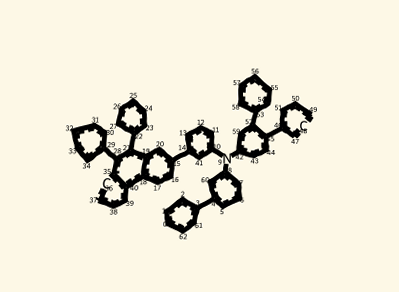 c1ccc(-c2cccc(N(c3cccc(-c4ccc5c(c4)c(-c4ccccc4)c(-c4ccccc4)c4ccccc45)c3)c3ccc(-c4ccccc4)c(-c4ccccc4)c3)c2)cc1